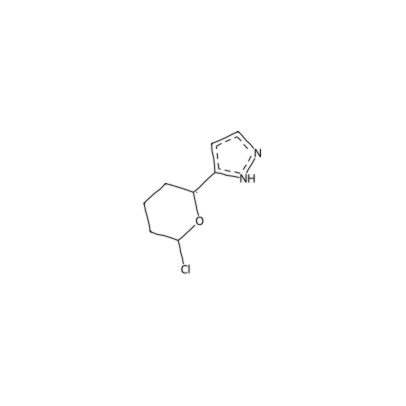 ClC1CCC[C](c2ccn[nH]2)O1